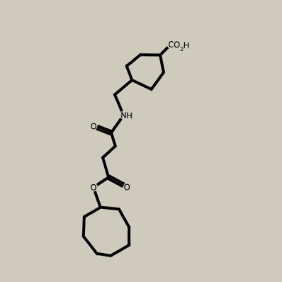 O=C(CCC(=O)OC1CCCCCCC1)NCC1CCC(C(=O)O)CC1